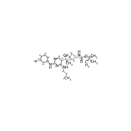 CCCNc1nc(Nc2cccc(F)c2)ncc1C(C)(C)[C@H]1C[C@@H](NC(=O)OC(C)(C)C)C1